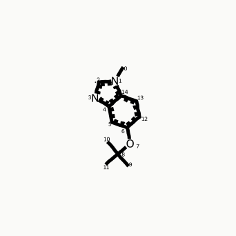 Cn1[c]nc2cc(OC(C)(C)C)ccc21